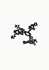 COC(C)(C)COc1cc(C(=O)NC(C)c2cnc(C)cn2)cc(-c2ncc(Cl)s2)c1